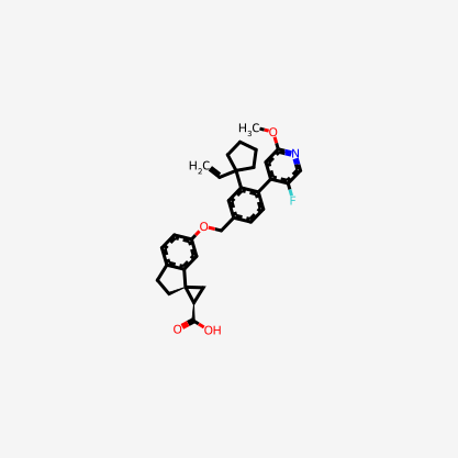 C=CC1(c2cc(COc3ccc4c(c3)[C@]3(CC4)C[C@H]3C(=O)O)ccc2-c2cc(OC)ncc2F)CCCC1